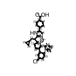 O=C(O)c1ccc(-c2cnc(C(CC3CC3)c3ccc(-c4cc(Cl)ccc4-n4cnnn4)c[n+]3[O-])[nH]2)cc1